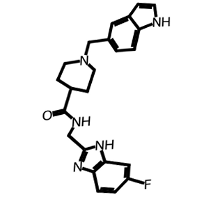 O=C(NCc1nc2ccc(F)cc2[nH]1)C1CCN(Cc2ccc3[nH]ccc3c2)CC1